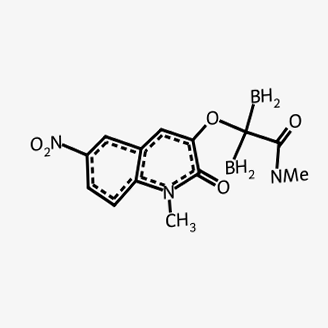 BC(B)(Oc1cc2cc([N+](=O)[O-])ccc2n(C)c1=O)C(=O)NC